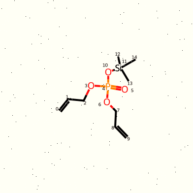 C=CCOP(=O)(OCC=C)O[Si](C)(C)C